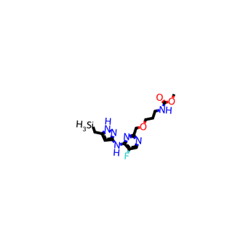 COC(=O)NCCCOCc1ncc(F)c(Nc2cc(C[SiH3])[nH]n2)n1